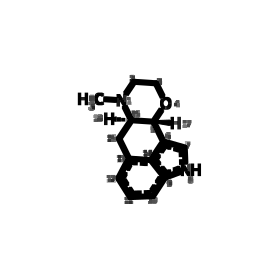 CN1CCO[C@@H]2c3c[nH]c4cccc(c34)C[C@H]21